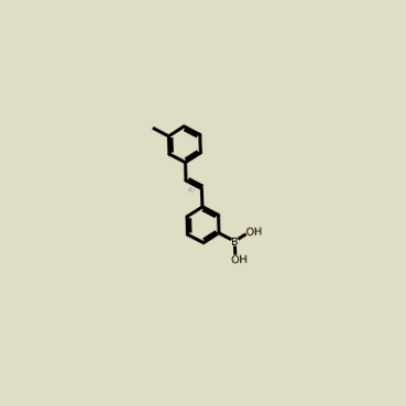 Cc1cccc(/C=C/c2cccc(B(O)O)c2)c1